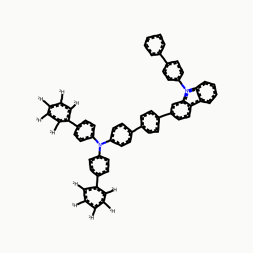 [2H]c1c([2H])c([2H])c(-c2ccc(N(c3ccc(-c4ccc(-c5ccc6c7ccccc7n(-c7ccc(-c8ccccc8)cc7)c6c5)cc4)cc3)c3ccc(-c4c([2H])c([2H])c([2H])c([2H])c4[2H])cc3)cc2)c([2H])c1[2H]